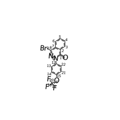 O=c1c2ccccc2c(Br)nn1-c1ccc(OC(F)(F)F)cc1